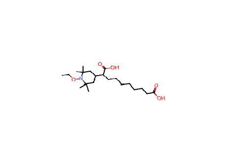 CCON1C(C)(C)CC(C(CCCCCCCC(=O)O)C(=O)O)CC1(C)C